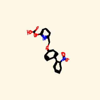 O=C(O)Oc1cccc(COc2ccc(-c3ccccc3[N+](=O)[O-])cc2)n1